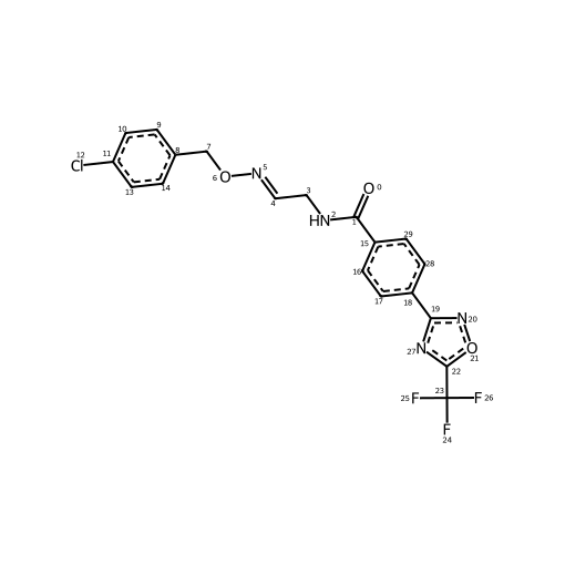 O=C(NCC=NOCc1ccc(Cl)cc1)c1ccc(-c2noc(C(F)(F)F)n2)cc1